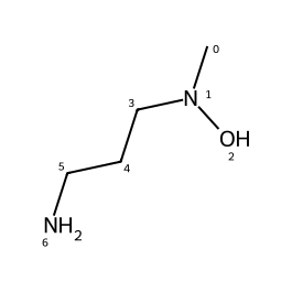 CN(O)CCCN